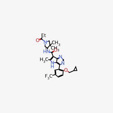 CCC(=O)N1C[C@@H](NC(=O)c2c(C)[nH]c3c(-c4cc(C(F)(F)F)ccc4OCC4CC4)ncnc23)C(C)(C)C1